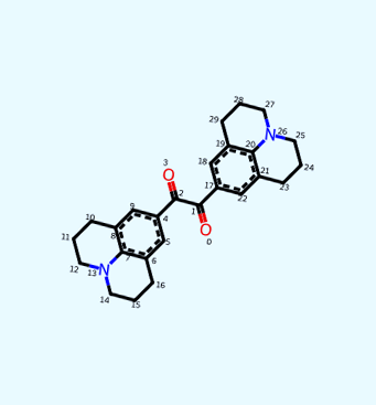 O=C(C(=O)c1cc2c3c(c1)CCCN3CCC2)c1cc2c3c(c1)CCCN3CCC2